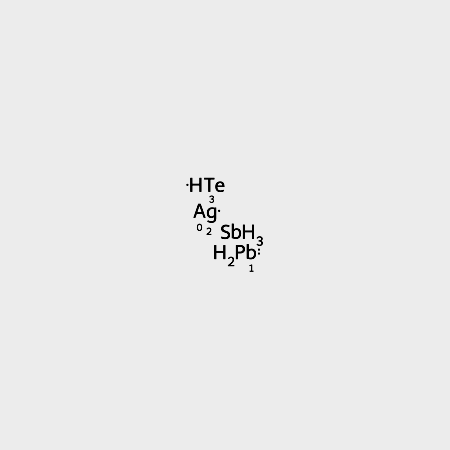 [Ag].[PbH2].[SbH3].[TeH]